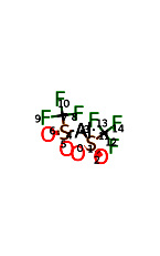 O=[S](=O)([Al][S](=O)(=O)C(F)(F)F)C(F)(F)F